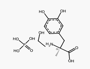 CCO.C[C@](N)(Cc1ccc(O)c(O)c1)C(=O)O.O=P(O)(O)O